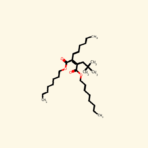 CCCCCCCCOC(=O)C(CCCCCC)=C(CC(C)(C)C)C(=O)OCCCCCCCC